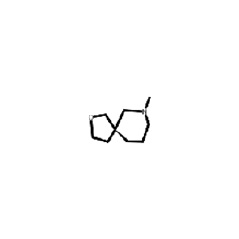 CN1CCC[C@]2(CCOC2)C1